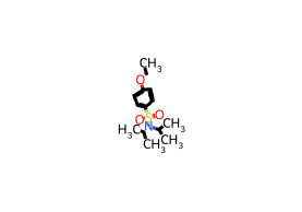 CCOc1ccc(S(=O)(=O)N(C(C)C)C(C)C)cc1